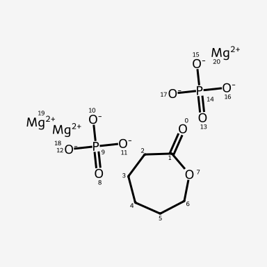 O=C1CCCCCO1.O=P([O-])([O-])[O-].O=P([O-])([O-])[O-].[Mg+2].[Mg+2].[Mg+2]